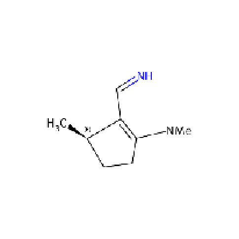 CNC1=C(C=N)[C@H](C)CC1